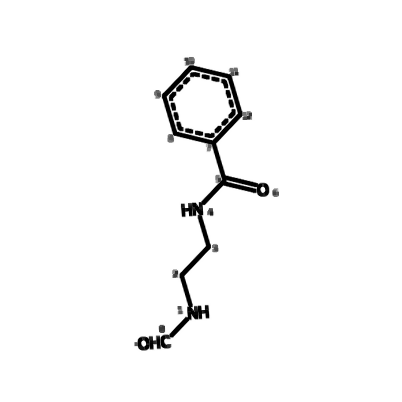 O=[C]NCCNC(=O)c1ccccc1